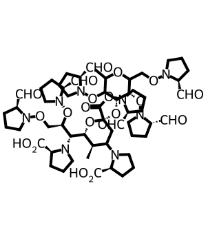 CC1OC(CON2CCC[C@H]2C=O)[C@H](ON2CCC[C@H]2C=O)[C@H](O[C@]2(C(=O)ON3CCC[C@H]3C=O)CC(N3CCC[C@H]3C(=O)O)[C@@H](C)[C@H]([C@@H]([C@@H](CON3CCC[C@H]3C=O)ON3CCC[C@H]3C=O)N3CCC[C@H]3C(=O)O)O2)C1ON1CCC[C@H]1C=O